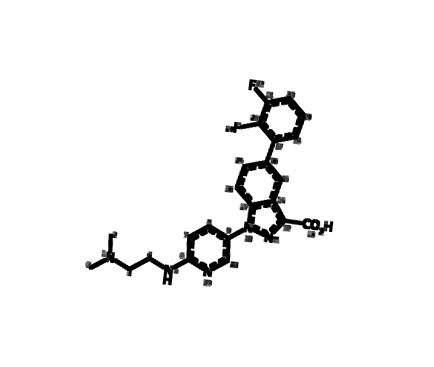 CN(C)CCNc1ccc(-n2nc(C(=O)O)c3cc(-c4cccc(F)c4F)ccc32)cn1